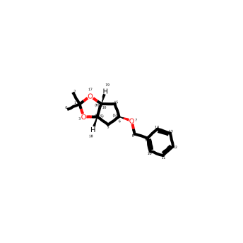 CC1(C)O[C@H]2C[C@H](OCc3ccccc3)C[C@H]2O1